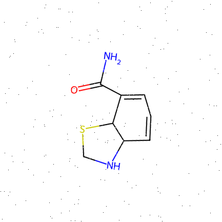 NC(=O)C1=CC=CC2NCSC12